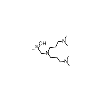 C[C@H](O)CN(CCCN(C)C)CCCN(C)C